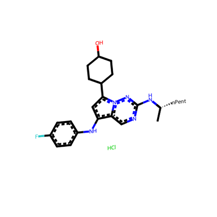 CCCCC[C@H](C)Nc1ncc2c(Nc3ccc(F)cc3)cc(C3CCC(O)CC3)n2n1.Cl